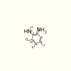 CNc1c(N)cc(C)c(C)c1C